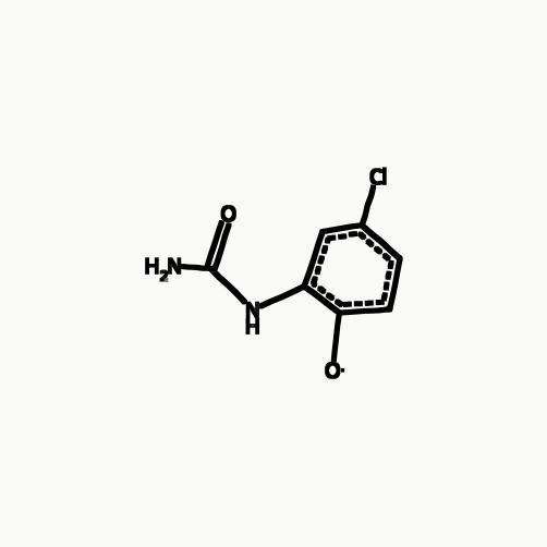 NC(=O)Nc1cc(Cl)ccc1[O]